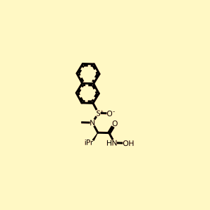 CC(C)[C@H](C(=O)NO)N(C)[S+]([O-])c1ccc2ccccc2c1